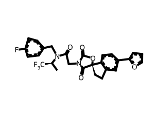 C[C@H](N(Cc1ccc(F)cc1)C(=O)CN1C(=O)O[C@@]2(CCc3cc(-c4ccco4)ccc32)C1=O)C(F)(F)F